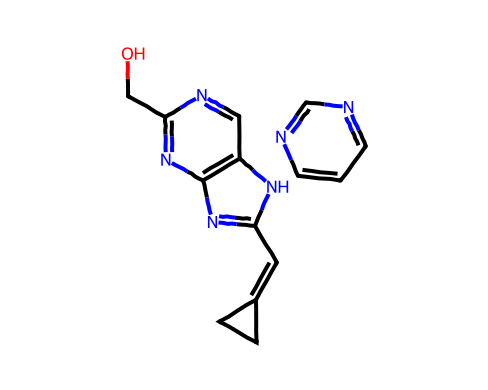 OCc1ncc2[nH]c(C=C3CC3)nc2n1.c1cncnc1